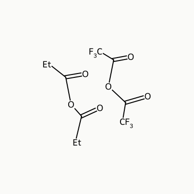 CCC(=O)OC(=O)CC.O=C(OC(=O)C(F)(F)F)C(F)(F)F